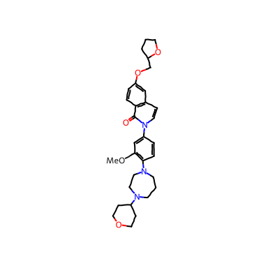 COc1cc(-n2ccc3cc(OCC4CCCO4)ccc3c2=O)ccc1N1CCCN(C2CCOCC2)CC1